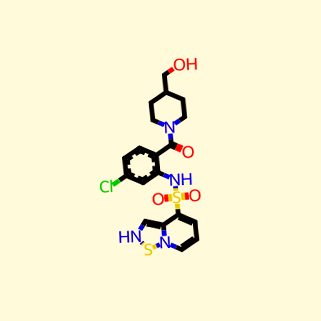 O=C(c1ccc(Cl)cc1NS(=O)(=O)C1=CC=CN2SNC=C12)N1CCC(CO)CC1